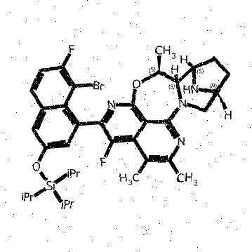 Cc1nc2c3c(nc(-c4cc(O[Si](C(C)C)(C(C)C)C(C)C)cc5ccc(F)c(Br)c45)c(F)c3c1C)O[C@@H](C)[C@@H]1[C@@H]3CC[C@H](CN21)N3